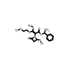 CCOCCSC(SC(C)=O)=C(C(=O)OC(c1ccccc1)[N+](=O)[O-])N1C(=O)CC1SCC